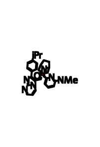 CNc1cccc(C(=O)N2C3CCC2CN(Cc2c(-c4ccc(C(C)C)cc4)nc4ncccn24)C3)n1